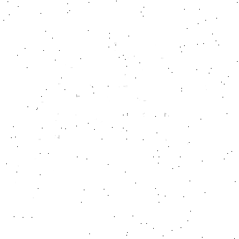 CC(C)(C)C(NC(=O)C1CC1)C(=O)N1C[C@H]2C([C@H]1C(=O)NC(CC1CC1)C(=O)C(=O)NCc1ccccc1)C2(C)C